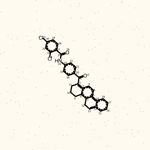 O=C(C1=c2ccc3c(c2CCC1)CC=c1ccccc1=3)c1ccc(NC(=O)c2ccc(Cl)cc2Cl)cc1